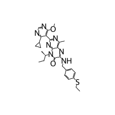 CCSc1ccc(CNc2nc3c(C)nc(-c4c(OC)ncnc4C4CC4)nc3n([C@H](C)CC)c2=O)cc1